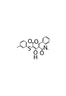 Cc1cccc(Sc2c(O)c3c(=O)n(C)c4ccccc4c3oc2=O)c1